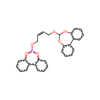 C(=C/COp1oc2ccccc2c2ccccc2o1)/COC1Oc2ccccc2-c2ccccc2O1